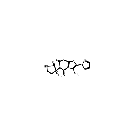 Cc1c(-n2nccn2)sc2[nH]c(=O)n([C@]3(C)CCNC3=O)c(=O)c12